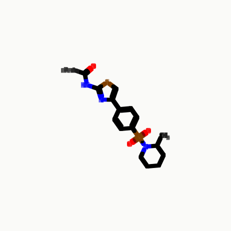 CCCCCC(=O)Nc1nc(-c2ccc(S(=O)(=O)N3CCCCC3C)cc2)cs1